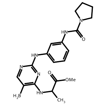 Bc1cnc(Nc2cccc(NC(=O)N3CCCC3)c2)nc1NC(C)C(=O)OC